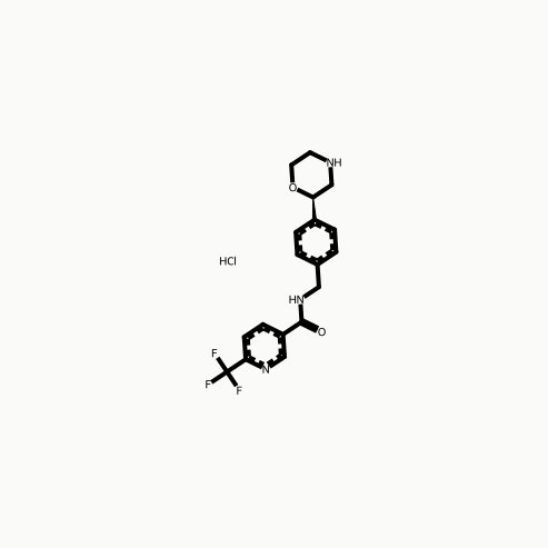 Cl.O=C(NCc1ccc([C@@H]2CNCCO2)cc1)c1ccc(C(F)(F)F)nc1